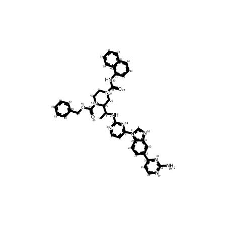 CC(Nc1nccc(-n2cnc3cc(-c4ccnc(N)n4)ccc32)n1)C1CN(C(=O)Nc2cccc3ccccc23)CCN1C(=O)OCc1ccccc1